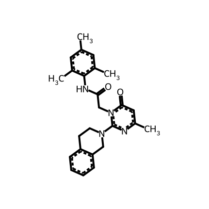 Cc1cc(C)c(NC(=O)Cn2c(N3CCc4ccccc4C3)nc(C)cc2=O)c(C)c1